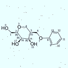 OC[C@H]1OC[C@@H](COc2ccccc2)[C@@H](O)[C@H]1O